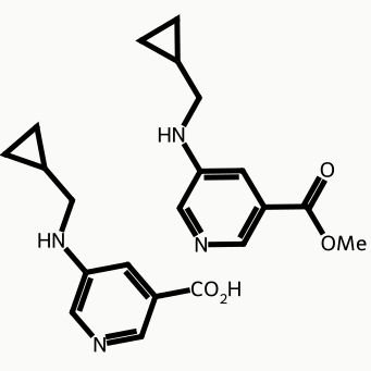 COC(=O)c1cncc(NCC2CC2)c1.O=C(O)c1cncc(NCC2CC2)c1